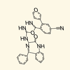 N#Cc1ccc(C(=N)OC(=N)NC2N=C(c3ccccc3)c3ccccc3NC2=O)c(-c2ccoc2)c1